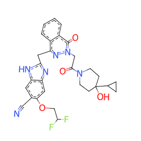 N#Cc1cc2[nH]c(Cc3nn(CC(=O)N4CCC(O)(C5CC5)CC4)c(=O)c4ccccc34)nc2cc1OCC(F)F